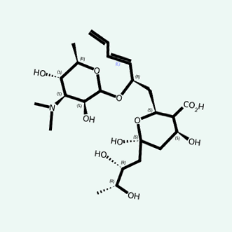 C=C/C=C/[C@@H](C[C@@H]1O[C@](O)(C[C@@H](O)[C@@H](C)O)C[C@H](O)C1C(=O)O)OC1O[C@H](C)[C@@H](O)[C@H](N(C)C)[C@@H]1O